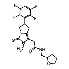 Cn1c(CC(=O)NC[C@H]2CCCO2)c2n(c1=S)C[C@@H](c1c(F)c(F)cc(F)c1F)C2